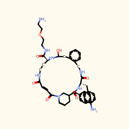 NCCOCCNC(=O)[C@@H]1CCNC(=O)/C=C/C(=O)N2CCC[C@](Cc3ccccc3)(C2)C(=O)N[C@@H](Cc2ccc(N)cc2)C(=O)NCc2ccccc2CC(O)N1